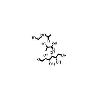 CC(=O)O.CC(O)C(=O)O.CCO.O=C[C@H](O)[C@@H](O)[C@H](O)[C@H](O)CO